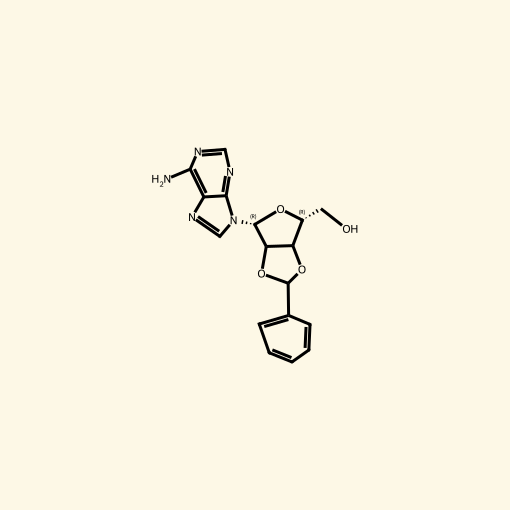 Nc1ncnc2c1ncn2[C@@H]1O[C@H](CO)C2OC(c3ccccc3)OC21